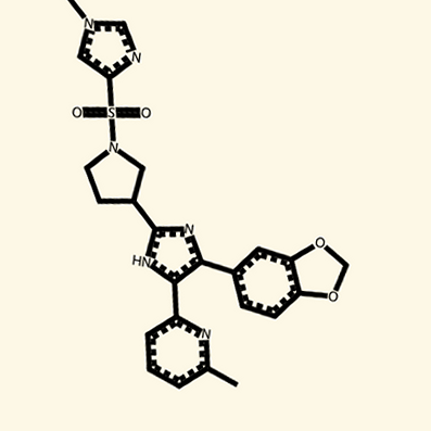 Cc1cccc(-c2[nH]c(C3CCN(S(=O)(=O)c4cn(C)cn4)C3)nc2-c2ccc3c(c2)OCO3)n1